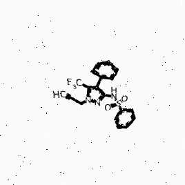 C#CCn1nc(NS(=O)(=O)c2ccccc2)c(-c2ccccc2)c1C(F)(F)F